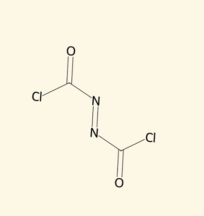 O=C(Cl)N=NC(=O)Cl